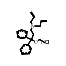 C=CCN(CC=C)CCC(OCC)(c1ccccc1)c1ccccc1.Cl